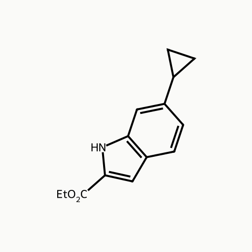 CCOC(=O)c1cc2ccc(C3CC3)cc2[nH]1